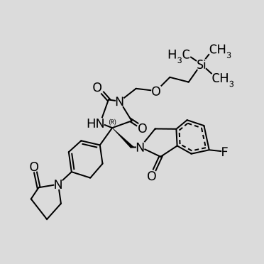 C[Si](C)(C)CCOCN1C(=O)N[C@@](CN2Cc3ccc(F)cc3C2=O)(C2=CC=C(N3CCCC3=O)CC2)C1=O